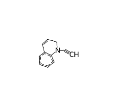 C#CN1CC=Cc2ccccc21